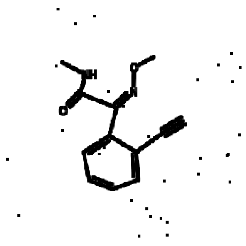 C#Cc1ccccc1C(=NOC)C(=O)NC